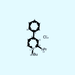 CCCC[n+]1ccc(-c2ccccc2)cc1CCC.[Cl-]